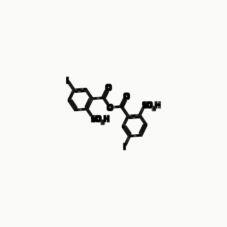 O=C(OC(=O)c1cc(I)ccc1S(=O)(=O)O)c1cc(I)ccc1S(=O)(=O)O